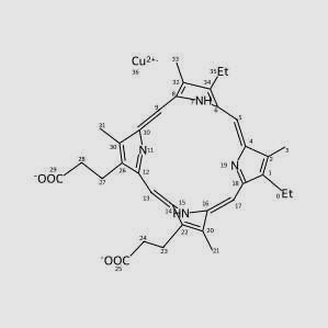 CCC1=C(C)c2cc3[nH]c(cc4nc(cc5[nH]c(cc1n2)c(C)c5CCC(=O)[O-])C(CCC(=O)[O-])=C4C)c(C)c3CC.[Cu+2]